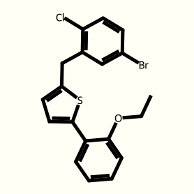 CCOc1ccccc1-c1ccc(Cc2cc(Br)ccc2Cl)s1